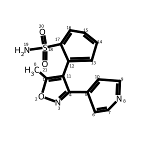 Cc1onc(-c2ccncc2)c1-c1ccccc1S(N)(=O)=O